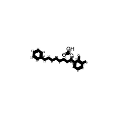 Cc1cccc(C(CCCCCCCc2ccccc2)OC(=O)O)c1C